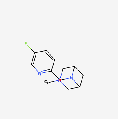 CC(C)N1CC2CC(C1)N2Cc1ccc(F)cn1